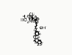 C[N+](C)(C)CC(CC(=O)O)OP(=O)(O)OCCCCOc1cccc(Oc2ccc3ccccc3c2)c1.[OH-]